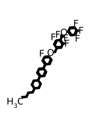 CCCCCC1CCC(c2ccc(-c3ccc(OCc4cc(F)c(C(F)(F)Oc5cc(F)c(F)c(F)c5)c(F)c4)c(F)c3)cc2)CC1